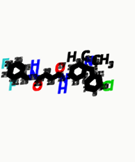 CN(C)C1(Cc2cccc(Cl)c2)CCC(NC(=O)CCC(=O)NCc2ccc(F)cc2F)CC1